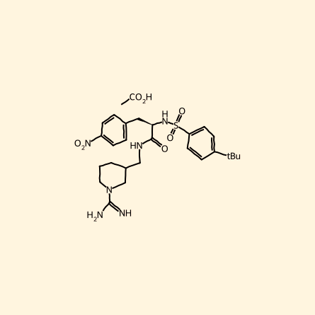 CC(=O)O.CC(C)(C)c1ccc(S(=O)(=O)N[C@H](Cc2ccc([N+](=O)[O-])cc2)C(=O)NCC2CCCN(C(=N)N)C2)cc1